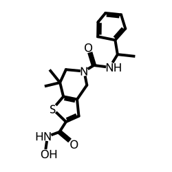 CC(NC(=O)N1Cc2cc(C(=O)NO)sc2C(C)(C)C1)c1ccccc1